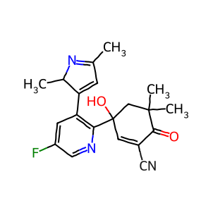 CC1=NC(C)C(c2cc(F)cnc2C2(O)C=C(C#N)C(=O)C(C)(C)C2)=C1